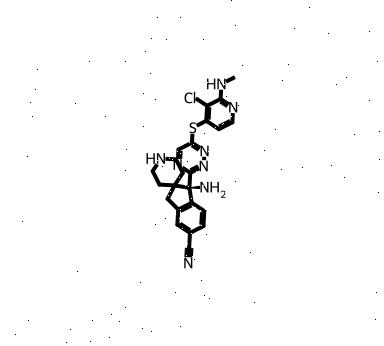 CNc1nccc(Sc2cnc([C@]3(N)c4ccc(C#N)cc4CC34CCNCC4)nn2)c1Cl